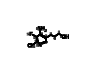 Nc1c(CCCO)cnc(Cl)c1F